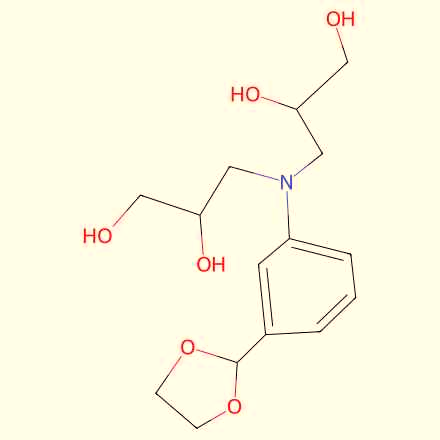 OCC(O)CN(CC(O)CO)c1cccc(C2OCCO2)c1